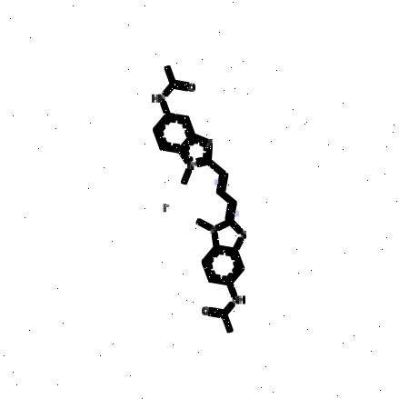 CC(=O)Nc1ccc2c(c1)S/C(=C/C=C/c1sc3cc(NC(C)=O)ccc3[n+]1C)N2C.[I-]